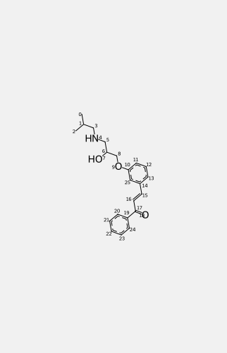 CC(C)CNCC(O)COc1cccc(/C=C/C(=O)c2ccccc2)c1